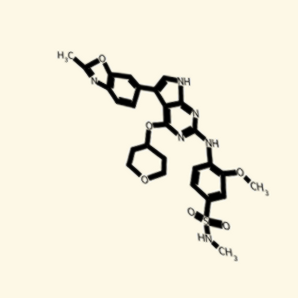 CNS(=O)(=O)c1ccc(Nc2nc(OC3CCOCC3)c3c(-c4ccc5nc(C)oc5c4)c[nH]c3n2)c(OC)c1